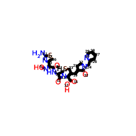 Nc1nc(C(=NO)C(=O)N[C@@H]2C(=O)N3C(C(=O)O)=C(C=C4CCN(Cc5ccccn5)C4=O)CS[C@H]23)cs1